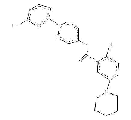 O=C(Nc1cnc(-c2cccc(C(F)(F)F)c2)nc1)c1cc(N2CCCCC2)ccc1[N+](=O)[O-]